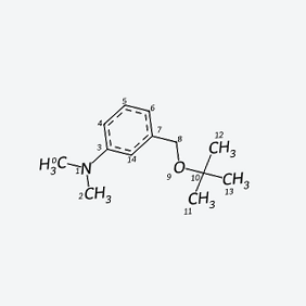 CN(C)c1cccc(COC(C)(C)C)c1